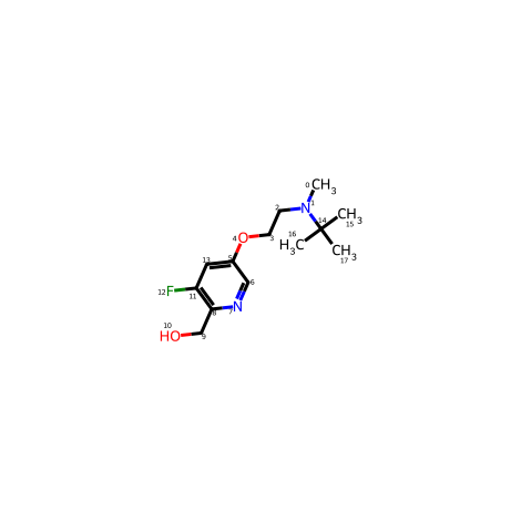 CN(CCOc1cnc(CO)c(F)c1)C(C)(C)C